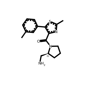 Cc1cccc(-c2sc(C)nc2C(=O)N2CCC[C@H]2CN)c1